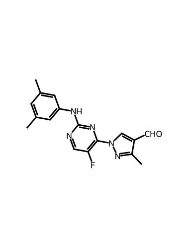 Cc1cc(C)cc(Nc2ncc(F)c(-n3cc(C=O)c(C)n3)n2)c1